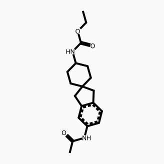 CCOC(=O)NC1CCC2(CC1)Cc1ccc(NC(C)=O)cc1C2